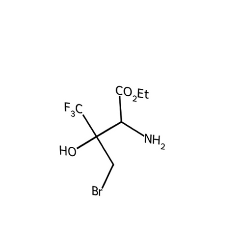 CCOC(=O)C(N)C(O)(CBr)C(F)(F)F